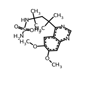 COc1cc2ncnc(C(C)(C)CC(C)(C)NS(N)(=O)=O)c2cc1OC